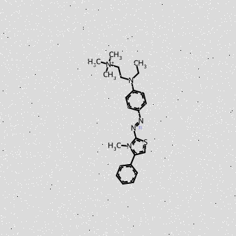 CCN(CC[N+](C)(C)C)c1ccc(/N=N/c2scc(-c3ccccc3)[n+]2C)cc1